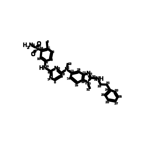 Cc1ccc(Nc2nccc(N(C)c3ccc4c(c3)nc(NCCc3ccccc3)n4C)n2)cc1S(N)(=O)=O